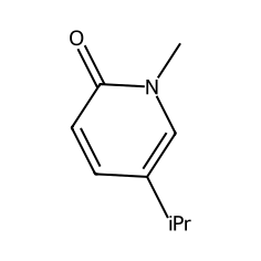 CC(C)c1ccc(=O)n(C)c1